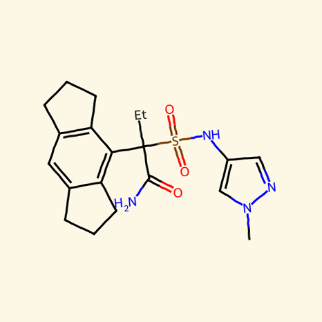 CCC(C(N)=O)(c1c2c(cc3c1CCC3)CCC2)S(=O)(=O)Nc1cnn(C)c1